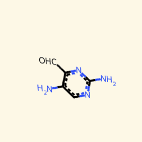 Nc1ncc(N)c(C=O)n1